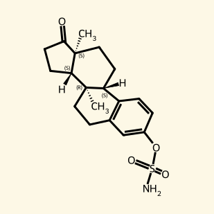 C[C@@]12CCc3cc(OS(N)(=O)=O)ccc3[C@H]1CC[C@]1(C)C(=O)CC[C@@H]21